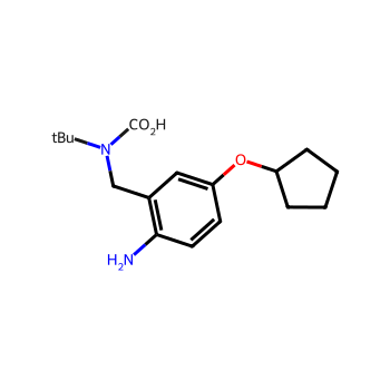 CC(C)(C)N(Cc1cc(OC2CCCC2)ccc1N)C(=O)O